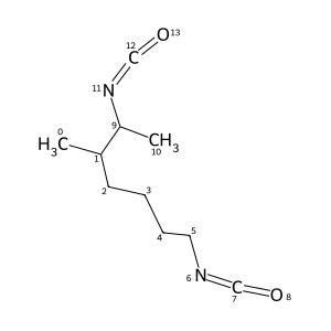 CC(CCCCN=C=O)C(C)N=C=O